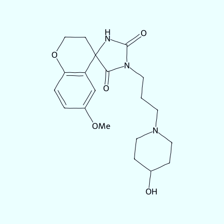 COc1ccc2c(c1)C1(CCO2)NC(=O)N(CCCN2CCC(O)CC2)C1=O